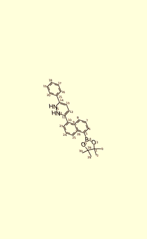 CC1(C)OB(c2cccc3c(C4=CC=C(c5ccccc5)NN4)cccc23)OC1(C)C